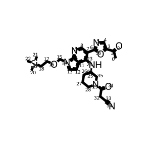 CC(=O)c1cnc(-c2cnc3c(ccn3COCC[Si](C)(C)C)c2N[C@@H]2CCCN(C(=O)CC#N)C2)o1